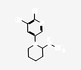 CNC1CCCCN1c1cnc(Cl)c(Br)c1